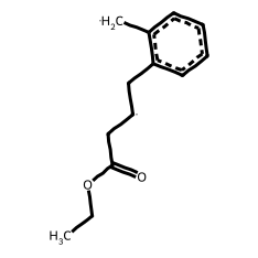 [CH2]c1ccccc1C[CH]CC(=O)OCC